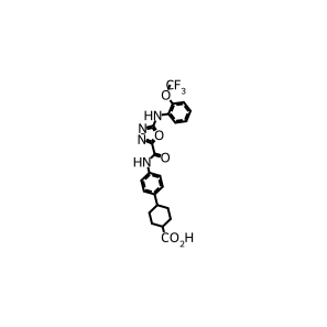 O=C(Nc1ccc(C2CCC(C(=O)O)CC2)cc1)c1nnc(Nc2ccccc2OC(F)(F)F)o1